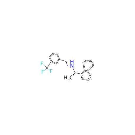 C[C@@H](NCCc1cccc(C(F)(F)F)c1)c1cccc2ccccc12